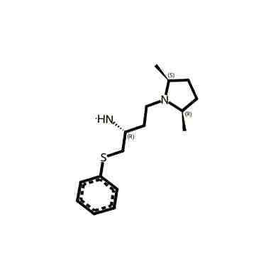 C[C@@H]1CC[C@H](C)N1CC[C@@H]([NH])CSc1ccccc1